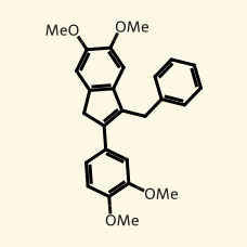 COc1ccc(C2=C(Cc3ccccc3)c3cc(OC)c(OC)cc3C2)cc1OC